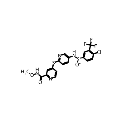 CONC(=O)c1cc(Sc2ccc(N[S+]([O-])c3ccc(Cl)c(C(F)(F)F)c3)cn2)ccn1